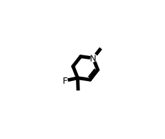 CN1C=CC(C)(F)CC1